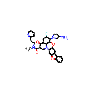 CN(CCc1ccccn1)C(=O)c1cn2c3c(c(N4CCC(N)C4)c(F)cc3c1=O)Oc1cc3c(cc1-2)oc1ccccc13